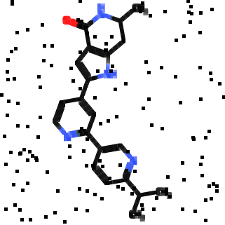 CC1Cc2[nH]c(-c3ccnc(-c4ccc(C(C)C)nc4)c3)cc2C(=O)N1